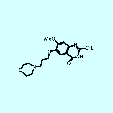 COc1cc2nc(C)[nH]c(=O)c2cc1OCCCN1CCOCC1